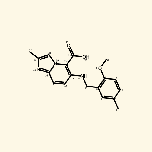 COc1ccc(C)cc1CNc1ccc2nc(C)cn2c1C(=O)O